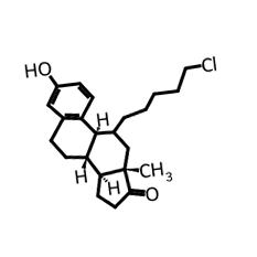 C[C@]12CC(CCCCCCl)[C@@H]3c4ccc(O)cc4CC[C@H]3[C@@H]1CCC2=O